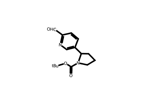 CC(C)(C)OC(=O)N1CCCC1c1ccc(C=O)nc1